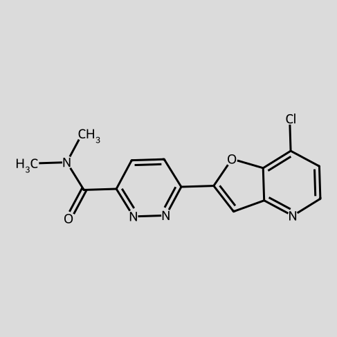 CN(C)C(=O)c1ccc(-c2cc3nccc(Cl)c3o2)nn1